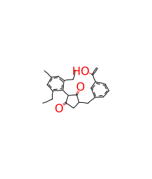 C=C(O)c1cccc(CC2CC(=O)C(c3c(CC)cc(C)cc3CC)C2=O)c1